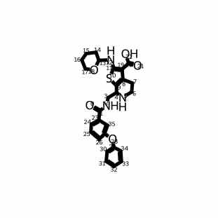 O=C(NCC1NCCc2c1sc(NC1CCCCO1)c2C(=O)O)c1cccc(Oc2ccccc2)c1